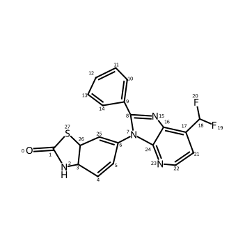 O=C1NC2C=CC(n3c(-c4ccccc4)nc4c(C(F)F)ccnc43)=CC2S1